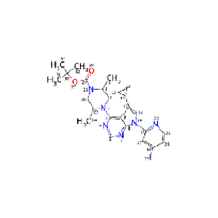 CC1CN(c2ncnc3c2c(C2CC2)cn3-c2cc(I)ccn2)C(C)CN1C(=O)OC(C)(C)C